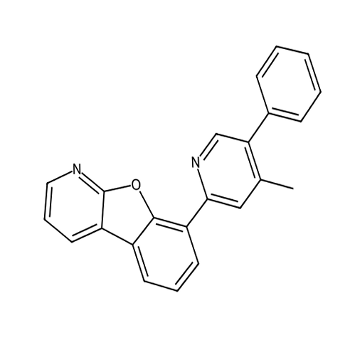 Cc1cc(-c2cccc3c2oc2ncccc23)ncc1-c1ccccc1